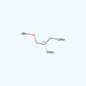 CCCCOC[C@H](COC)OC